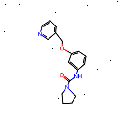 O=C(Nc1cccc(OCc2cccnc2)c1)N1CCCC1